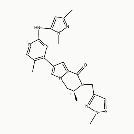 Cc1cc(Nc2ncc(C)c(-c3cc4n(c3)C[C@H](C)N(Cc3cnn(C)n3)C4=O)n2)n(C)n1